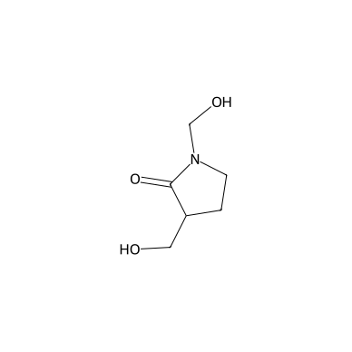 O=C1C(CO)CCN1CO